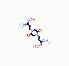 N/C(CCN1CC(=O)N(CC/C(N)=N\O)CC1=O)=N/O